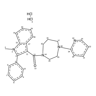 Cl.Cl.Cn1c(-c2ccccc2)c(C(=O)N2CCCN(c3ccccn3)CC2)c2ccccc21